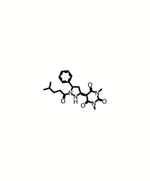 CC(C)CCC(=O)N1NC(=C2C(=O)N(C)C(=O)N(C)C2=O)CC1c1ccccc1